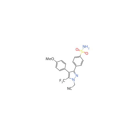 COc1ccc(-c2c(-c3ccc(S(N)(=O)=O)cc3)nn(CC#N)c2C(F)(F)F)cc1